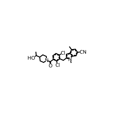 Cc1cc(C#N)cc2c1cc(Cc1c(Cl)ccc(C(=O)N3CCC(C(C)O)CC3)c1Cl)n2C